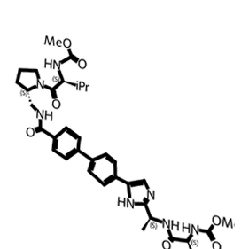 COC(=O)N[C@H](C(=O)N[C@@H](C)c1ncc(-c2ccc(-c3ccc(C(=O)NC[C@@H]4CCCN4C(=O)[C@@H](NC(=O)OC)C(C)C)cc3)cc2)[nH]1)C(C)C